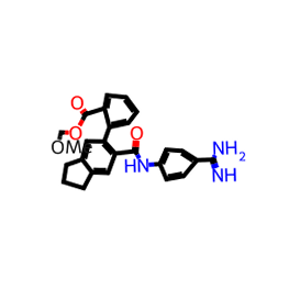 COCOC(=O)c1ccccc1-c1cc2c(cc1C(=O)Nc1ccc(C(=N)N)cc1)CCC2